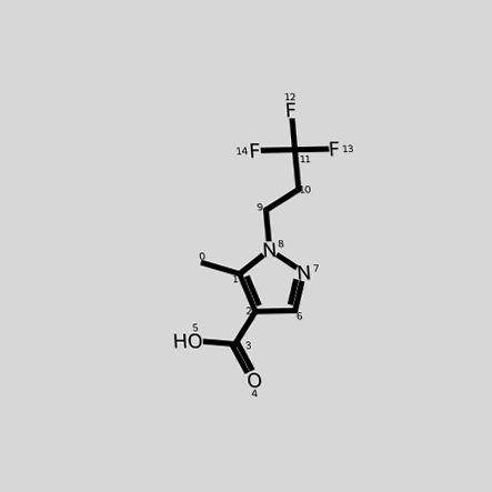 Cc1c(C(=O)O)cnn1CCC(F)(F)F